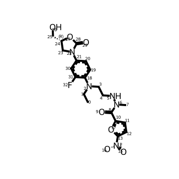 CCN(CCNN(C)C(=O)c1ccc([N+](=O)[O-])o1)c1ccc(N2C[C@H](CO)OC2=O)cc1F